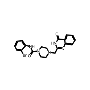 O=C(Nc1ccccc1Br)N1CCN(Cc2nc3ccccc3c(=O)[nH]2)CC1